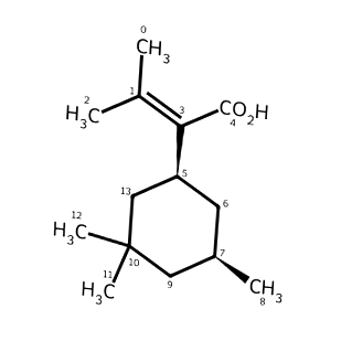 CC(C)=C(C(=O)O)[C@H]1C[C@@H](C)CC(C)(C)C1